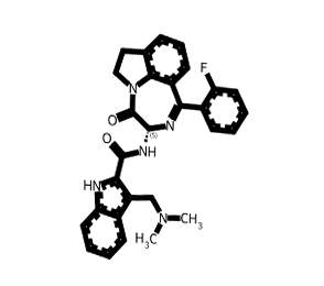 CN(C)Cc1c(C(=O)N[C@H]2N=C(c3ccccc3F)c3cccc4c3N(CC4)C2=O)[nH]c2ccccc12